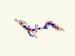 CC(C)C(=O)OCc1ccc(NC(=O)[C@H](CCCCN)NC(=O)COCC(=O)NCCOCCn2cc(CNC(=O)c3coc(-c4cnc(S(C)(=O)=O)nc4)n3)nn2)cc1